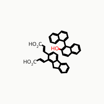 O=C(O)C=Cc1ccc2c(c1C=CC(=O)O)Cc1ccccc1-2.Oc1ccc2ccccc2c1-c1cccc2ccccc12